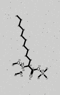 CCCCCCCCCCC(C(=O)O[Si](C)(C)C)[SiH](OC)OC